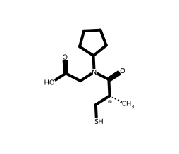 C[C@H](CS)C(=O)N(CC(=O)O)C1CCCC1